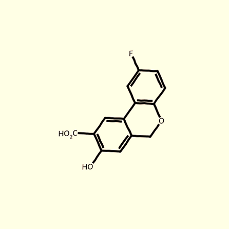 O=C(O)c1cc2c(cc1O)COc1ccc(F)cc1-2